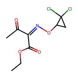 CCOC(=O)/C(=N\OC1CC1(Cl)Cl)C(C)=O